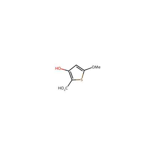 COc1cc(O)c(C(=O)O)s1